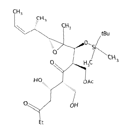 C/C=C\[C@H](C)[C@H]1OC1(C)[C@@H](O[Si](C)(C)C(C)(C)C)[C@@H](COC(C)=O)C(=O)[C@H](CO)[C@@H](O)CC(=O)CC